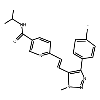 CC(C)NC(=O)c1ccc(C=Cc2c(-c3ccc(F)cc3)nnn2C)nc1